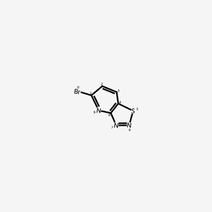 Brc1ccc2snnc2n1